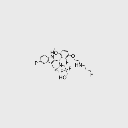 COc1ccc(OCCNCCCF)c(F)c1C1c2[nH]c3ccc(F)cc3c2C[C@@H](C)N1CC(F)(F)CO